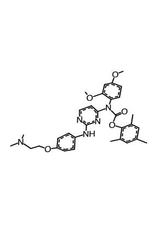 COc1ccc(N(C(=O)Oc2c(C)cc(C)cc2C)c2ccnc(Nc3ccc(OCCN(C)C)cc3)n2)c(OC)c1